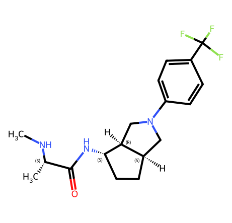 CN[C@@H](C)C(=O)N[C@H]1CC[C@@H]2CN(c3ccc(C(F)(F)F)cc3)C[C@@H]21